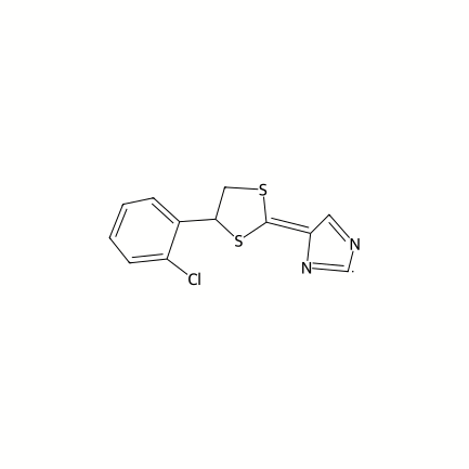 Clc1ccccc1C1CSC(=C2C=N[C]=N2)S1